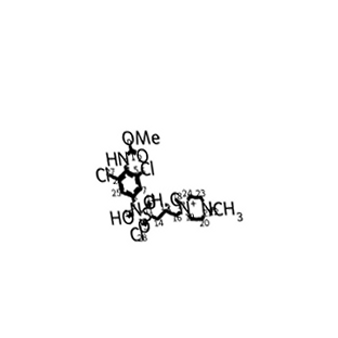 COC(=O)Nc1c(Cl)cc(N(O)S(=O)(=O)CCC[N+]2(C)CCN(C)CC2)cc1Cl.[Cl-]